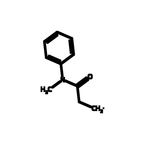 [CH2]CC(=O)N(C)c1ccccc1